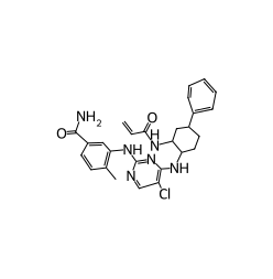 C=CC(=O)NC1CC(c2ccccc2)CCC1Nc1nc(Nc2cc(C(N)=O)ccc2C)ncc1Cl